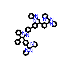 c1ccc(-c2c(-c3ccc(-c4c(-c5ccccn5)nc5ccccn45)cc3)c3nc4cc(-c5ccc6c(-c7cccc(-c8c(-c9ccccn9)nc9ccccn89)c7)cc7nc8ccccc8n7c6c5)ccc4n3c3ccccc23)cc1